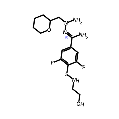 N/C(=N\N(N)CC1CCCCO1)c1cc(F)c(SNCCO)c(F)c1